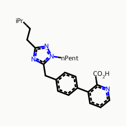 CCCCCn1nc(CCC(C)C)nc1Cc1ccc(-c2cccnc2C(=O)O)cc1